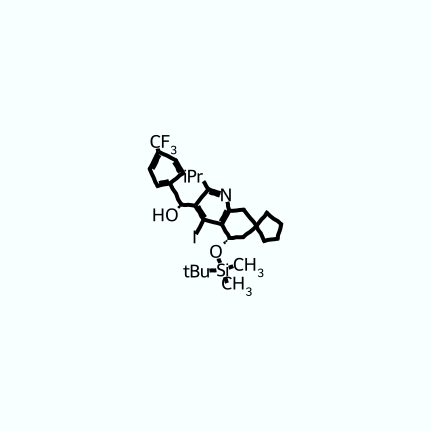 CC(C)c1nc2c(c(I)c1[C@H](O)c1ccc(C(F)(F)F)cc1)[C@@H](O[Si](C)(C)C(C)(C)C)CC1(CCCC1)C2